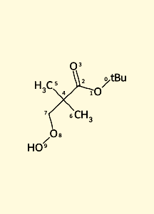 CC(C)(C)OC(=O)C(C)(C)COO